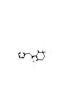 CC1(C)CCc2[nH]nc(Cc3cccs3)c2C1=O